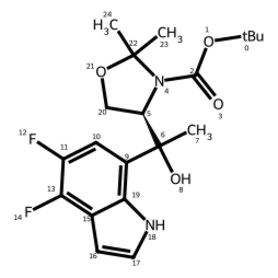 CC(C)(C)OC(=O)N1[C@@H](C(C)(O)c2cc(F)c(F)c3cc[nH]c23)COC1(C)C